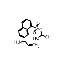 C=CCN.CC(O)OS(=O)(=O)c1cccc2ccccc12